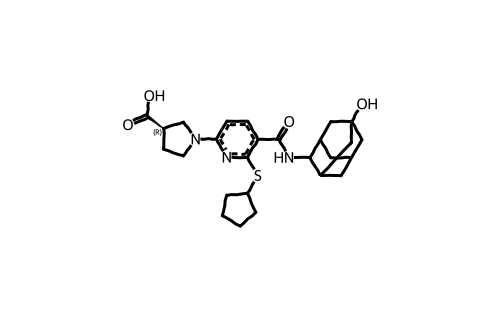 O=C(NC1C2CC3CC1CC(O)(C3)C2)c1ccc(N2CC[C@@H](C(=O)O)C2)nc1SC1CCCC1